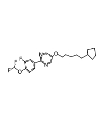 Fc1cc(-c2ncc(OCCCCCC3CCCC3)cn2)ccc1OC(F)F